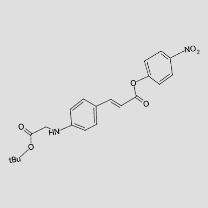 CC(C)(C)OC(=O)CNc1ccc(C=CC(=O)Oc2ccc([N+](=O)[O-])cc2)cc1